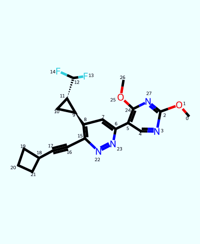 COc1ncc(-c2cc([C@H]3C[C@@H]3C(F)F)c(C#CC3CCC3)nn2)c(OC)n1